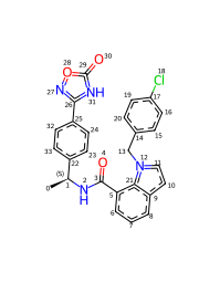 C[C@H](NC(=O)c1cccc2ccn(Cc3ccc(Cl)cc3)c12)c1ccc(-c2noc(=O)[nH]2)cc1